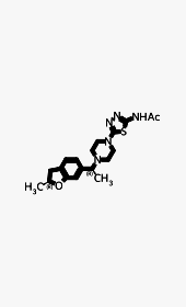 CC(=O)Nc1nnc(N2CCN([C@H](C)c3ccc4c(c3)O[C@H](C)C4)CC2)s1